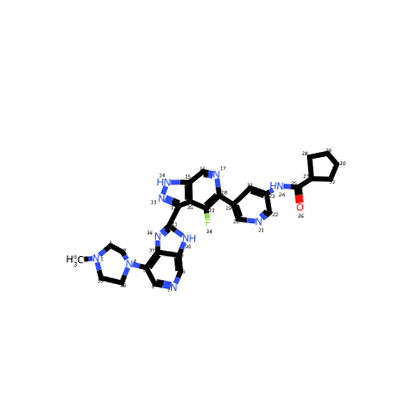 CN1CCN(c2cncc3[nH]c(-c4n[nH]c5cnc(-c6cncc(NC(=O)C7CCCC7)c6)c(F)c45)nc23)CC1